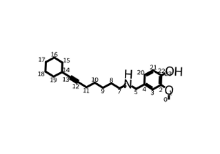 COc1cc(CNCCCCCC#CC2CCCCC2)ccc1O